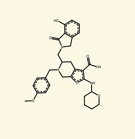 COc1ccc(CN2Cc3sc(NC4CCCCO4)c(C(=O)O)c3CC2CN2Cc3cccc(O)c3C2=O)cc1